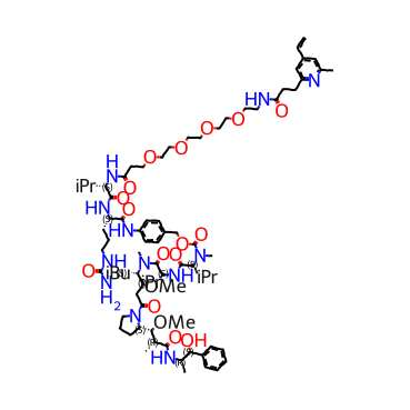 C=Cc1cc(C)nc(CCC(=O)NCCOCCOCCOCCOCCC(=O)N[C@H](C(=O)N[C@@H](CCCNC(N)=O)C(=O)Nc2ccc(COC(=O)N(C)[C@H](C(=O)N[C@H](C(=O)N(C)C([C@@H](C)CC)[C@@H](CC(=O)N3CCC[C@H]3C(OC)[C@@H](C)C(=O)N[C@H](C)[C@@H](O)c3ccccc3)OC)C(C)C)C(C)C)cc2)C(C)C)c1